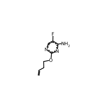 C=CCCOc1ncc(F)c(N)n1